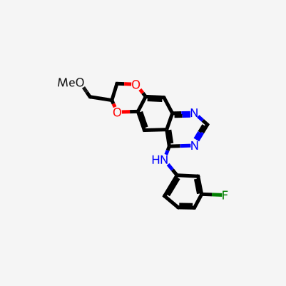 COCC1COc2cc3ncnc(Nc4cccc(F)c4)c3cc2O1